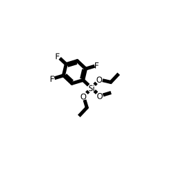 CCO[Si](OC)(OCC)c1cc(F)c(F)cc1F